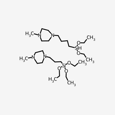 CCO[SiH](CCCCN1CCN(C)CC1)OCC.CCO[Si](CCCN1CCN(C)CC1)(OCC)OCC